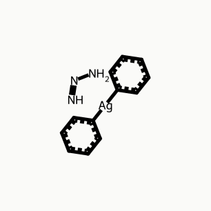 N=NN.c1cc[c]([Ag][c]2ccccc2)cc1